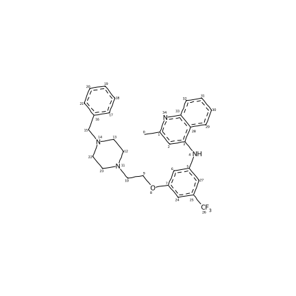 Cc1cc(Nc2cc(OCCN3CCN(Cc4ccccc4)CC3)cc(C(F)(F)F)c2)c2ccccc2n1